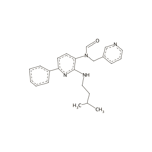 CC(C)CCNc1nc(-c2ccccc2)ccc1N(C=O)Cc1cccnc1